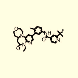 CCN1C(=O)CC2CCOCCN2c2cc(-c3cc(NC(=O)c4ccnc(C(C)(C)F)c4)ccc3C)cnc21